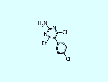 CCc1nc(N)nc(Cl)c1-c1ccc(Cl)cc1